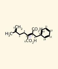 C=C(C)CC/C(C(=O)O)=C(/Cc1ccccc1)C(=O)O